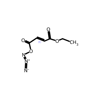 CCOC(=O)/C=C/C(=O)ON=[N+]=[N-]